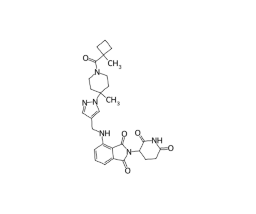 CC1(C(=O)N2CCC(C)(n3cc(CNc4cccc5c4C(=O)N(C4CCC(=O)NC4=O)C5=O)cn3)CC2)CCC1